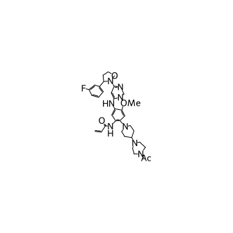 C=CC(=O)Nc1cc(Nc2cc(N3OCCC3c3cccc(F)c3)ncn2)c(OC)cc1N1CCC(N2CCN(C(C)=O)CC2)CC1